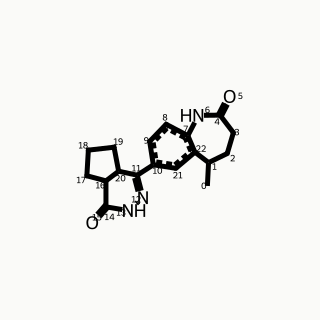 CC1CCC(=O)Nc2ccc(C3=NNC(=O)C4CCCC34)cc21